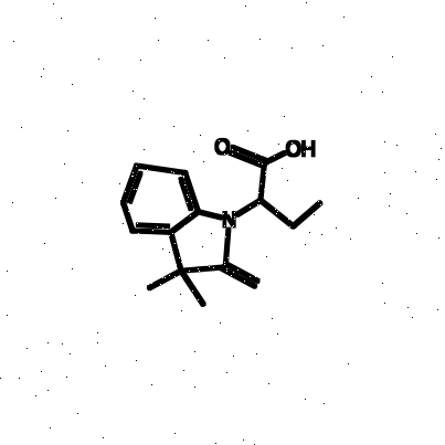 C=C1N(C(CC)C(=O)O)c2ccccc2C1(C)C